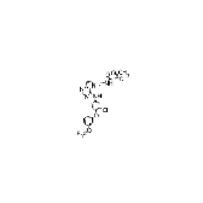 CS(=O)(=O)CC(=O)NCCn1ccc2ncnc(Nc3ccc(Oc4cccc(OC(F)(F)F)c4)c(Cl)c3)c21